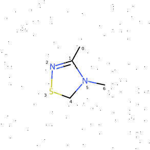 CC1=NSCN1C